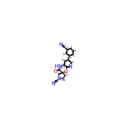 N#Cc1cccc(-c2cnc3c(c2)NC(=O)C2(CCN(C#N)C2)O3)c1